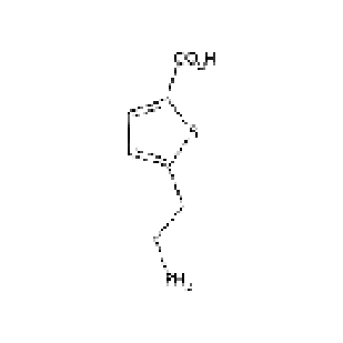 O=C(O)c1ccc(CCP)s1